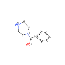 OC(c1[c]cccc1)N1CCNCC1